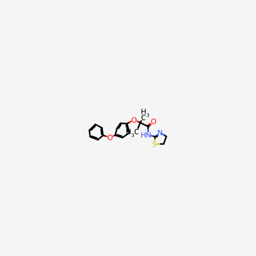 CC(C)(Oc1ccc(Oc2ccccc2)cc1)C(=O)NC1=NCCS1